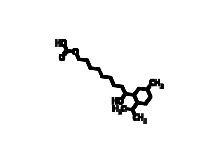 CC1CCC(C(C)C)C(C(O)CCCCCCCCOC(=O)O)C1